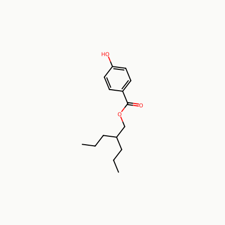 CCCC(CCC)COC(=O)c1ccc(O)cc1